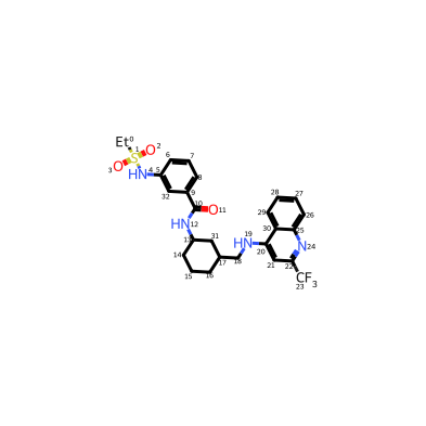 CCS(=O)(=O)Nc1cccc(C(=O)NC2CCCC(CNc3cc(C(F)(F)F)nc4ccccc34)C2)c1